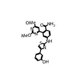 COc1cc(-c2cc(Nc3nc(-c4cccc(O)c4)cs3)ccc2C(N)=O)nc(OC)n1